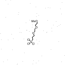 COCCOCCOCCC[Si](Cl)(Cl)Cl